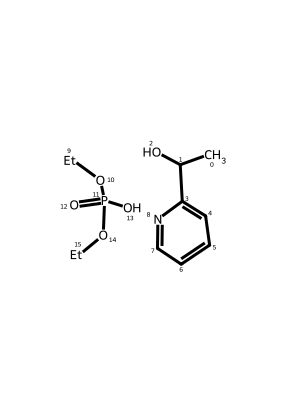 CC(O)c1ccccn1.CCOP(=O)(O)OCC